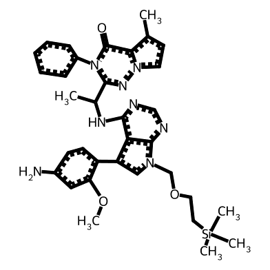 COc1cc(N)ccc1-c1cn(COCC[Si](C)(C)C)c2ncnc(NC(C)c3nn4ccc(C)c4c(=O)n3-c3ccccc3)c12